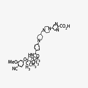 COc1cc(OC2(C)CC(C)(NC(=O)c3ccc(N4CCC(CN5CCN(c6cnc(C(=O)O)nc6)CC5)CC4)cc3)C2(C)C)ccc1C#N